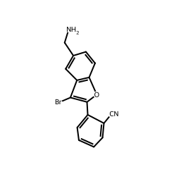 N#Cc1ccccc1-c1oc2ccc(CN)cc2c1Br